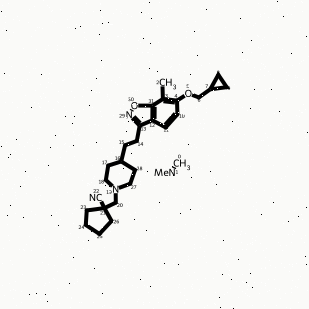 CNC.Cc1c(OCC2CC2)ccc2c(CCC3CCN(CC4(C#N)CCCC4)CC3)noc12